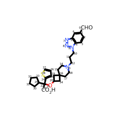 O=Cc1ccc2c(c1)nnn2CCCN1CCC2(CC1)CC(OC(C(=O)O)(c1cccs1)C1CCCC1)C2